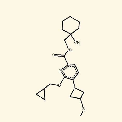 COC1CN(c2ccc(C(=O)NCC3(O)CCCCC3)nc2OCC2CC2)C1